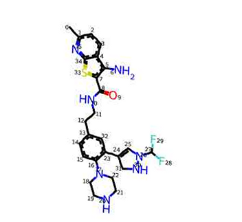 Cc1ccc2c(N)c(C(=O)NCCc3ccc(N4CCNCC4)c(C4=CN(C(F)F)NC4)c3)sc2n1